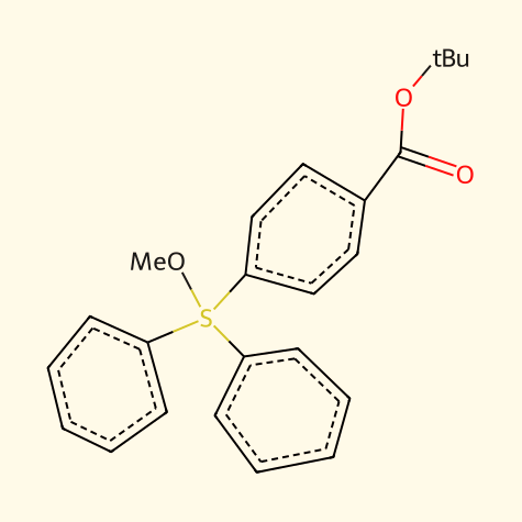 COS(c1ccccc1)(c1ccccc1)c1ccc(C(=O)OC(C)(C)C)cc1